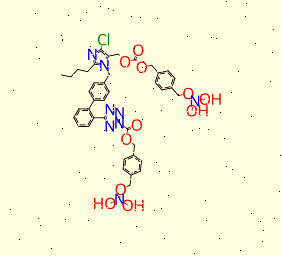 CCCCc1nc(Cl)c(COC(=O)OCc2ccc(CON(O)O)cc2)n1Cc1ccc(-c2ccccc2-c2nnn(C(=O)OCc3ccc(CON(O)O)cc3)n2)cc1